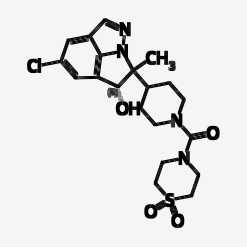 CC1(C2CCN(C(=O)N3CCS(=O)(=O)CC3)CC2)[C@H](O)c2cc(Cl)cc3cnn1c23